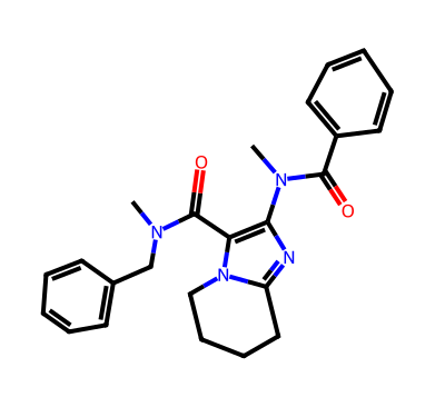 CN(Cc1ccccc1)C(=O)c1c(N(C)C(=O)c2ccccc2)nc2n1CCCC2